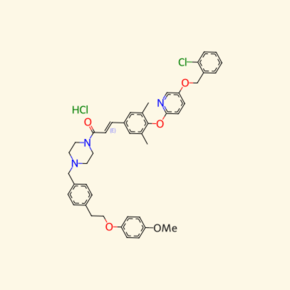 COc1ccc(OCCc2ccc(CN3CCN(C(=O)/C=C/c4cc(C)c(Oc5ccc(OCc6ccccc6Cl)cn5)c(C)c4)CC3)cc2)cc1.Cl